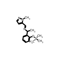 CC(N=Cc1ccnn1C)c1ccccc1O[Si](C)(C)C